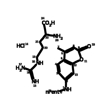 CCCCCNc1ccc2c(C)cc(=O)oc2c1.Cl.N=C(N)NCCCC(N)C(=O)O